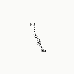 C=CCCCCCCOc1ccc(-c2ccc(OC(=O)c3ccc(OC[C@@H](C)CC)cc3)cc2)cc1